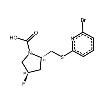 O=C(O)N1C[C@H](F)C[C@H]1CSc1cccc(Br)n1